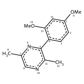 COc1ccc(-c2nc(C)cnc2C)c(OC)c1